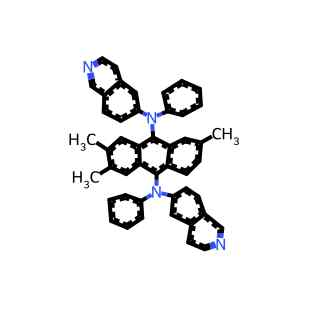 Cc1ccc2c(N(c3ccccc3)c3ccc4cnccc4c3)c3cc(C)c(C)cc3c(N(c3ccccc3)c3ccc4cnccc4c3)c2c1